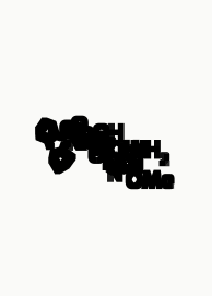 COc1nc(N)nc2c1ncn2C1OC(COP(=O)(NCc2ccccc2)OCc2ccccc2C)C(O)C1(C)O